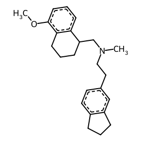 COc1cccc2c1CCCC2CN(C)CCc1ccc2c(c1)CCC2